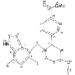 CCOC1CCN(Cc2c(C)cc(C)c3[nH]ccc23)C(c2ccc(C(=O)OC)cc2)C1